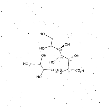 O=C(O)C(O)C(O)C(=O)O.O=C(O)[C@H](O)[C@@H](O)[C@H](O)[C@H](O)C(O)CO